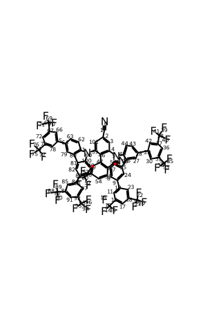 N#Cc1cc(-n2c3ccc(-c4cc(C(F)(F)F)cc(C(F)(F)F)c4)cc3c3cc(-c4cc(C(F)(F)F)cc(C(F)(F)F)c4)ccc32)c(-c2cc(C(F)(F)F)ccc2C#N)c(-n2c3ccc(-c4cc(C(F)(F)F)cc(C(F)(F)F)c4)cc3c3cc(-c4cc(C(F)(F)F)cc(C(F)(F)F)c4)ccc32)c1